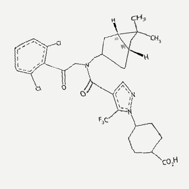 CC1(C)[C@@H]2CC(N(CC(=O)c3c(Cl)cccc3Cl)C(=O)c3cnn(C4CCC(C(=O)O)CC4)c3C(F)(F)F)C[C@@H]21